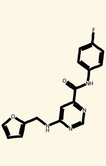 O=C(Nc1ccc(F)cc1)c1cc(NCc2ccco2)ncn1